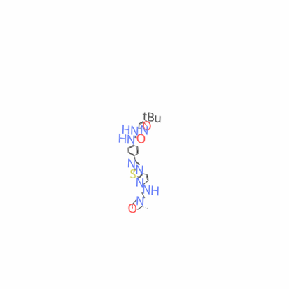 C[C@@H]1COCCN1CCNc1ccc2c(n1)sc1nc(-c3ccc(NC(=O)Nc4cc(C(C)(C)C)on4)cc3)cn12